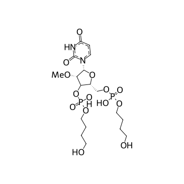 CO[C@H]1C(OP(=O)(O)OCCCCO)[C@@H](COP(=O)(O)OCCCCO)O[C@H]1n1ccc(=O)[nH]c1=O